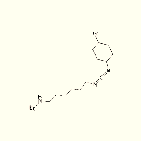 CCNCCCCCCN=C=NC1CCC(CC)CC1